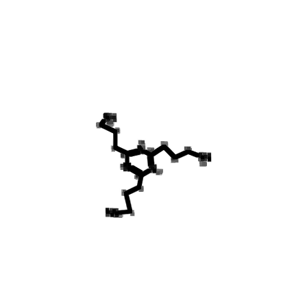 SCCCc1nc(CCCS)nc(CCCS)n1